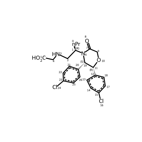 CCC[C@H](CNCC(=O)O)N1C(=O)CO[C@H](c2ccc(Cl)cc2)[C@@H]1c1ccc(Cl)cc1